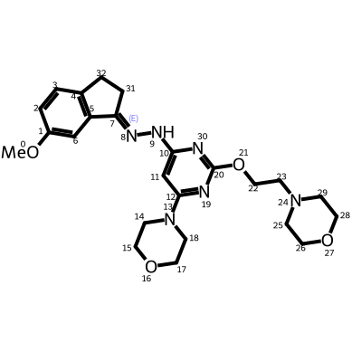 COc1ccc2c(c1)/C(=N/Nc1cc(N3CCOCC3)nc(OCCN3CCOCC3)n1)CC2